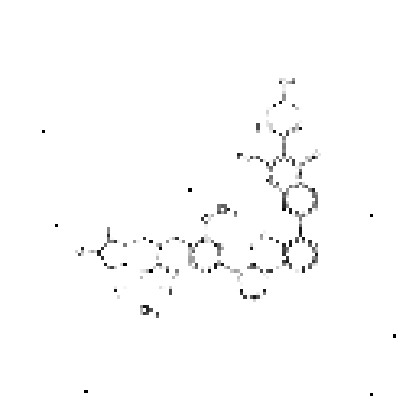 COc1nc(-c2cccc(-c3cccc(-c4ccn5c(=O)c(C6=NCC(O)CN6)c(C)nc5c4)c3Cl)c2Cl)ccc1CN(C[C@@H]1CCC(=O)N1)C(=O)OC(C)(C)C